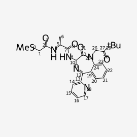 CSCC(=O)N[C@@H](C)C(=O)NC1N=C(c2ccccn2)c2ccccc2N(CC(=O)C(C)(C)C)C1=O